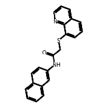 O=C(CSc1cccc2cccnc12)Nc1ccc2ccccc2c1